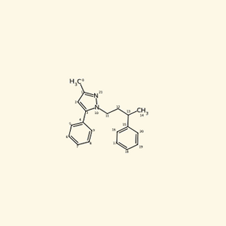 Cc1cc(-c2ccccc2)n(CCC(C)c2ccccc2)n1